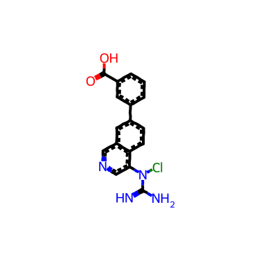 N=C(N)N(Cl)c1cncc2cc(-c3cccc(C(=O)O)c3)ccc12